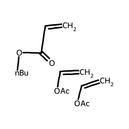 C=CC(=O)OCCCC.C=COC(C)=O.C=COC(C)=O